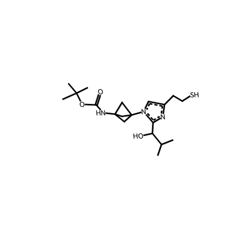 CC(C)C(O)c1nc(CCS)cn1C12CC(NC(=O)OC(C)(C)C)(C1)C2